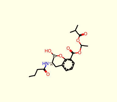 CCCC(=O)N[C@H]1Cc2cccc(C(=O)OC(C)OC(=O)C(C)C)c2OB1O